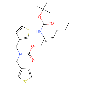 CCCC[C@@H](COC(=O)N(Cc1ccsc1)Cc1ccsc1)NC(=O)OC(C)(C)C